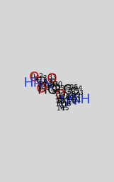 O=C1CCC(N2Cc3cc(OC[C@H]4CCCCN4Cc4n[nH]c5cccc(C(=O)O)c45)ccc3C2=O)C(=O)N1